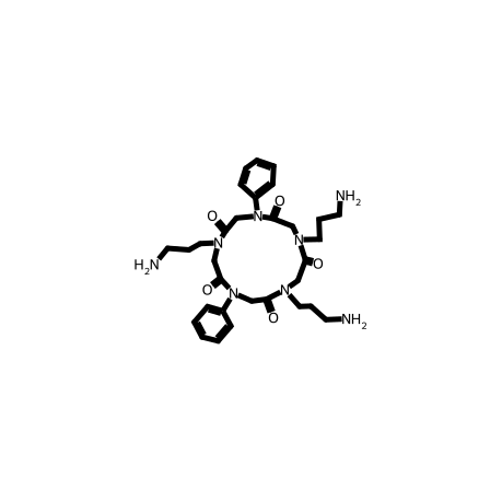 NCCCN1CC(=O)N(CCCN)CC(=O)N(c2ccccc2)CC(=O)N(CCCN)CC(=O)N(c2ccccc2)CC1=O